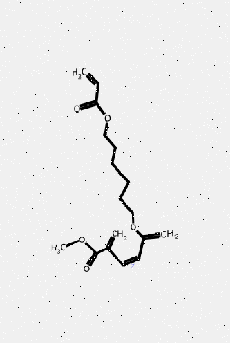 C=CC(=O)OCCCCCCOC(=C)/C=C\C(=C)C(=O)OC